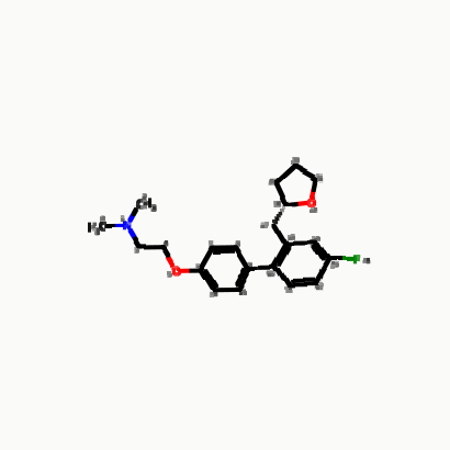 CN(C)CCOc1ccc(-c2ccc(F)cc2C[C@@H]2CCCO2)cc1